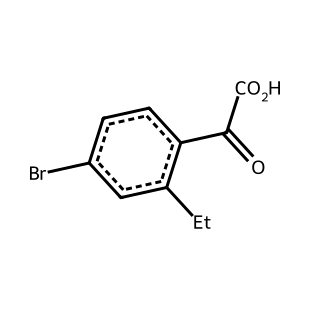 CCc1cc(Br)ccc1C(=O)C(=O)O